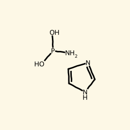 NP(O)O.c1c[nH]cn1